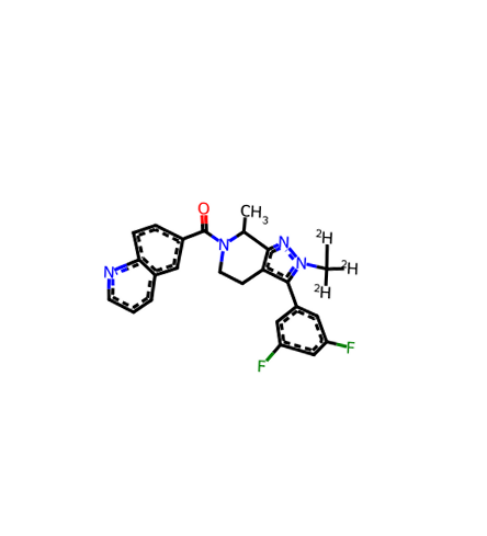 [2H]C([2H])([2H])n1nc2c(c1-c1cc(F)cc(F)c1)CCN(C(=O)c1ccc3ncccc3c1)C2C